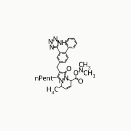 CCCCCc1c(Cc2ccc(-c3ccccc3)c(-c3nnn[nH]3)c2)c(=O)n2n1C(C)C=CC2C(=O)ON(C)C